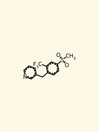 CS(=O)(=O)c1ccc(Cc2cccnc2)c(C(F)(F)F)c1